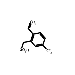 C=Cc1ccc(C(F)(F)F)cc1CS(=O)(=O)O